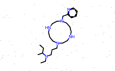 CCC(C)N(CC)CCCN1CCCNCCN(Cc2ccccn2)CCCNCC1